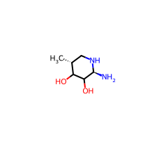 C[C@@H]1CN[C@@H](N)C(O)C1O